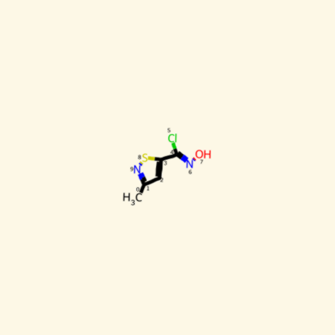 Cc1cc(C(Cl)=NO)sn1